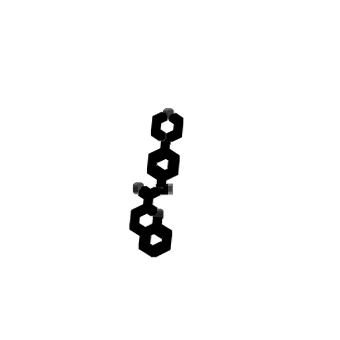 O=C(Nc1ccc(N2CCOCC2)cc1)C1CCc2ccccc2O1